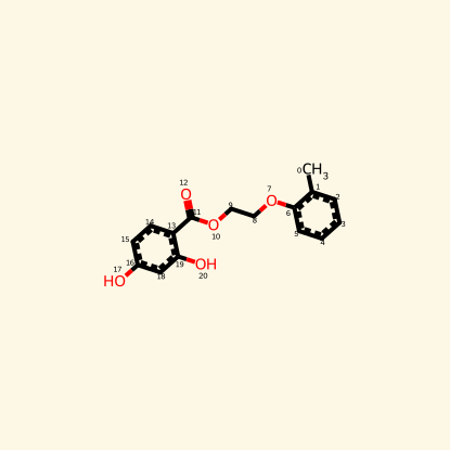 Cc1ccccc1OCCOC(=O)c1ccc(O)cc1O